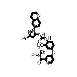 CCN(CC)C(=O)c1cc(Oc2ccc(NC(=O)Nc3cc(C(C)C)nn3-c3ccc4ncccc4c3)c(C)c2)ccn1